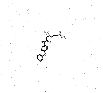 CNCCCN(C)CC(=O)Nc1ccc(Oc2ccccc2)cc1